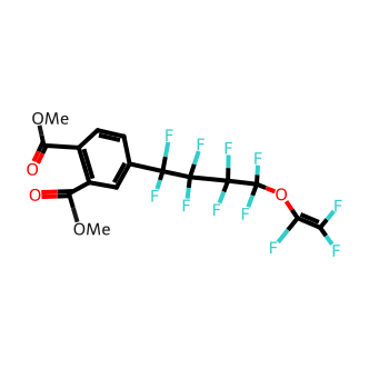 COC(=O)c1ccc(C(F)(F)C(F)(F)C(F)(F)C(F)(F)OC(F)=C(F)F)cc1C(=O)OC